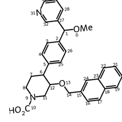 COC(c1ccc(C2CCN(C(=O)O)CC2OCc2ccc3ccccc3c2)cc1)c1cccnc1